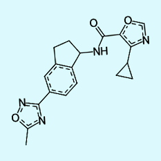 Cc1nc(-c2ccc3c(c2)CCC3NC(=O)c2ocnc2C2CC2)no1